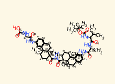 CC(C)[C@H](NC(=O)OC(C)(C)C)C(=O)N[C@@H](C)C(=O)Nc1ccc2c(c1)[C@@]1(C)CCC[C@](C)(C(=O)NC(=O)[C@@]3(C)CCC[C@]4(C)c5cc(NC(=O)CNC(=O)O)ccc5CC[C@@H]34)[C@@H]1CC2